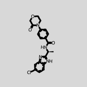 C[C@H](NC(=O)c1ccc(N2CCOCC2=O)cc1)c1nc2cc(Cl)ccc2[nH]1